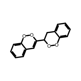 C1=C([C]2Cc3ccccc3OO2)OOc2ccccc21